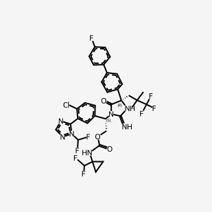 CC(C)(C[C@]1(c2ccc(-c3ccc(F)cc3)cc2)NC(=N)N([C@H](COC(=O)NC2(C(F)F)CC2)c2ccc(Cl)c(-c3ncnn3C(F)F)c2)C1=O)C(F)(F)F